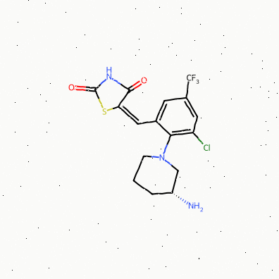 N[C@@H]1CCCN(c2c(Cl)cc(C(F)(F)F)cc2C=C2SC(=O)NC2=O)C1